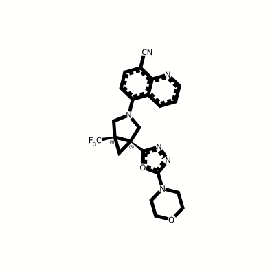 N#Cc1ccc(N2C[C@]3(c4nnc(N5CCOCC5)o4)C[C@]3(C(F)(F)F)C2)c2cccnc12